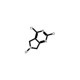 [O-][S+]1Cc2nc(Cl)nc(Cl)c2C1